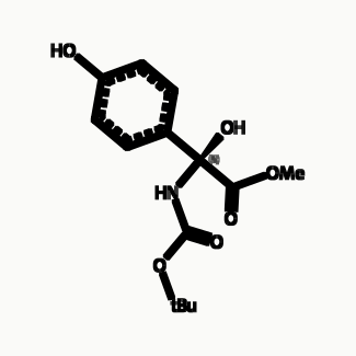 COC(=O)[C@](O)(NC(=O)OC(C)(C)C)c1ccc(O)cc1